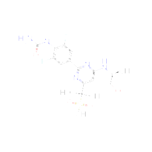 C[C@@H](CO)Nc1cc(C(C)(C)S(C)(=O)=O)nc(-c2cc(F)c(NC(N)=O)c(F)c2)n1